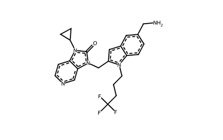 NCc1ccc2c(c1)cc(Cn1c(=O)n(C3CC3)c3ccncc31)n2CCCC(F)(F)F